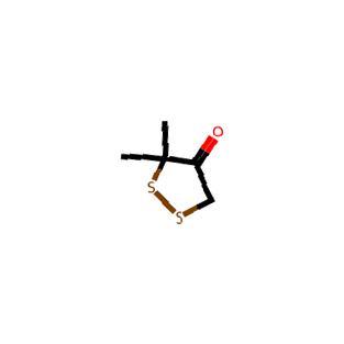 CC1(C)SSCC1=O